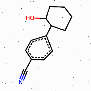 N#Cc1ccc(C2CCCCC2O)cc1